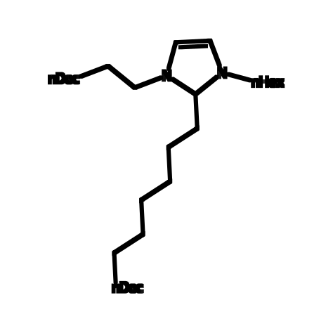 CCCCCCCCCCCCCCCCC1N(CCCCCC)C=CN1CCCCCCCCCCCC